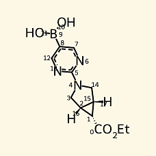 CCOC(=O)[C@@H]1[C@@H]2CN(c3ncc(B(O)O)cn3)C[C@@H]21